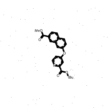 COC(=O)c1ccc2ccc(Oc3ccnc(C(=O)OC(C)(C)C)c3)cc2c1